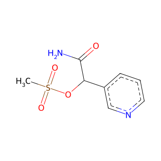 CS(=O)(=O)OC(C(N)=O)c1cccnc1